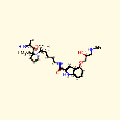 CC(C)NCC(O)COc1cccc2[nH]c(C(=O)NCCCC[C@@H](C(=O)O)N3CCCC3(C(=O)O)C(=O)C(C)N)cc12